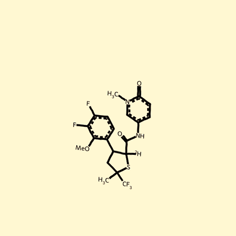 [2H]C1(C(=O)Nc2ccc(=O)n(C)c2)SC(C)(C(F)(F)F)CC1c1ccc(F)c(F)c1OC